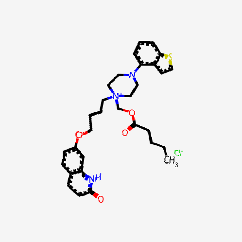 CCCCC(=O)OC[N+]1(CCCCOc2ccc3ccc(=O)[nH]c3c2)CCN(c2cccc3sccc23)CC1.[Cl-]